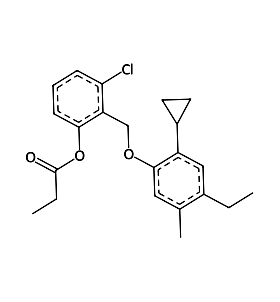 CCC(=O)Oc1cccc(Cl)c1COc1cc(C)c(CC)cc1C1CC1